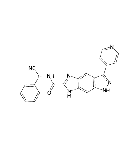 N#CC(NC(=O)c1nc2cc3c(-c4ccncc4)n[nH]c3cc2[nH]1)c1ccccc1